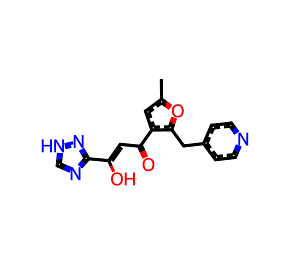 Cc1cc(C(=O)C=C(O)c2nc[nH]n2)c(Cc2ccncc2)o1